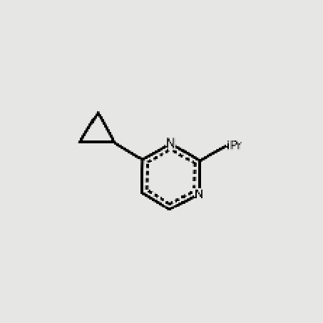 CC(C)c1nccc(C2CC2)n1